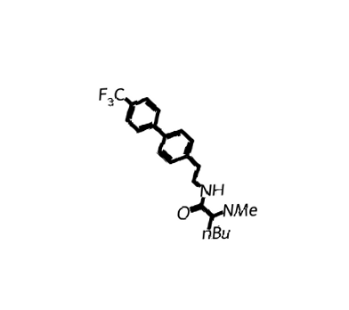 CCCCC(NC)C(=O)NCCc1ccc(-c2ccc(C(F)(F)F)cc2)cc1